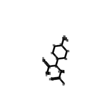 CC(=O)NC(C(=O)O)C1CCC(N)CC1